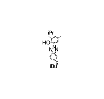 CCC(C)Sc1ccc2nn(-c3cc(C)cc(CC(C)C)c3O)nc2c1